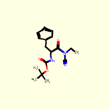 CCN(C#N)C(=O)C(Cc1ccccc1)NC(=O)OC(C)(C)C